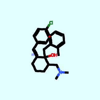 Cc1ccccc1CC1(O)/C(=C\c2ccc(Cl)cc2)CCCC1CN(C)C